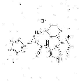 Cl.NC1CCCN(c2c(Br)cnc3[nH]cc(NC(=O)C4CC4c4ccccc4)c23)C1